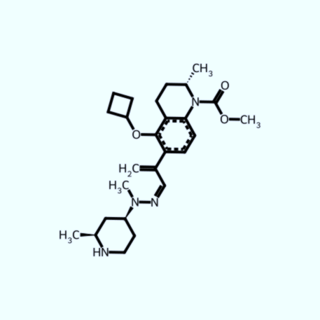 C=C(/C=N\N(C)[C@H]1CCN[C@@H](C)C1)c1ccc2c(c1OC1CCC1)CC[C@H](C)N2C(=O)OC